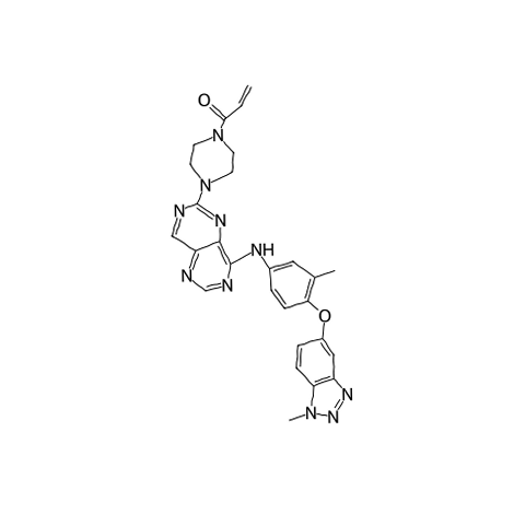 C=CC(=O)N1CCN(c2ncc3ncnc(Nc4ccc(Oc5ccc6c(c5)nnn6C)c(C)c4)c3n2)CC1